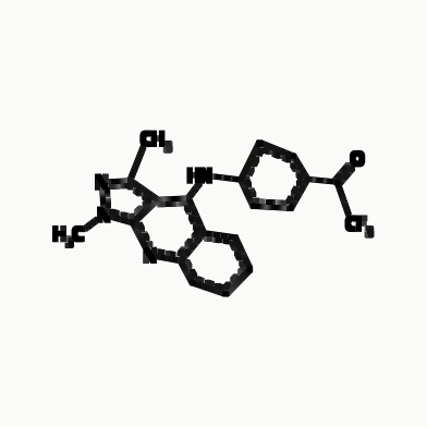 Cc1nn(C)c2nc3ccccc3c(Nc3ccc(C(=O)C(F)(F)F)cc3)c12